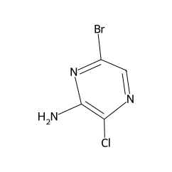 Nc1nc(Br)cnc1Cl